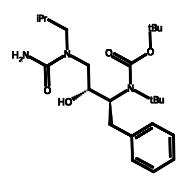 CC(C)CN(C[C@@H](O)[C@H](Cc1ccccc1)N(C(=O)OC(C)(C)C)C(C)(C)C)C(N)=O